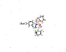 COc1ccc2c(c1)cc(C(=O)c1c(F)cccc1F)n2S(=O)(=O)c1ccccc1